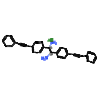 Cl.N[C@@H](c1ccc(C#Cc2ccccc2)cc1)[C@@H](N)c1ccc(C#Cc2ccccc2)cc1